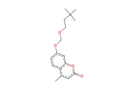 Cc1cc(=O)oc2cc(OCOCC[Si](C)(C)C)ccc12